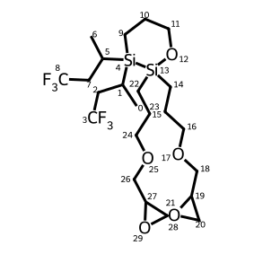 CC(CC(F)(F)F)[Si]1(C(C)CC(F)(F)F)CCCO[Si]1(CCCOCC1CO1)CCCOCC1CO1